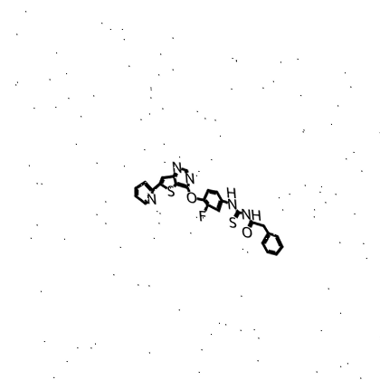 O=C(Cc1ccccc1)NC(=S)Nc1ccc(Oc2ncnc3cc(-c4ccccn4)sc23)c(F)c1